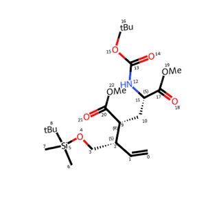 C=C[C@H](CO[Si](C)(C)C(C)(C)C)[C@@H](C[C@H](NC(=O)OC(C)(C)C)C(=O)OC)C(=O)OC